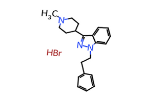 Br.CN1CCC(c2nn(CCc3ccccc3)c3ccccc23)CC1